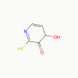 O=C1C(S)=NC=CC1O